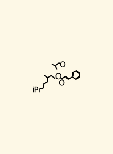 CC(C)C=O.CC(C)CCCC(C)CCOC(=O)/C=C/c1ccccc1